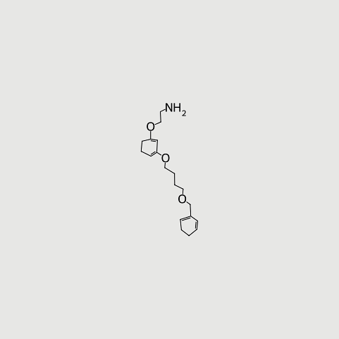 NCCOC1=CC(OCCCCOCC2=CCCC=C2)=CCC1